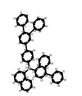 c1ccc(-c2ccc(-c3ccc(N(c4cccc5ccccc45)c4ccc(-c5ccccc5)c5ccccc45)cc3)cc2-c2ccccc2)cc1